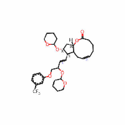 O=C1CCC/C=C\CC2[C@H](C[C@@H](OC3CCCCO3)[C@@H]2/C=C/C(COc2cccc(C(F)(F)F)c2)OC2CCCCO2)O1